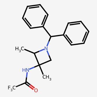 CC1N(C(c2ccccc2)c2ccccc2)CC1(C)NC(=O)C(F)(F)F